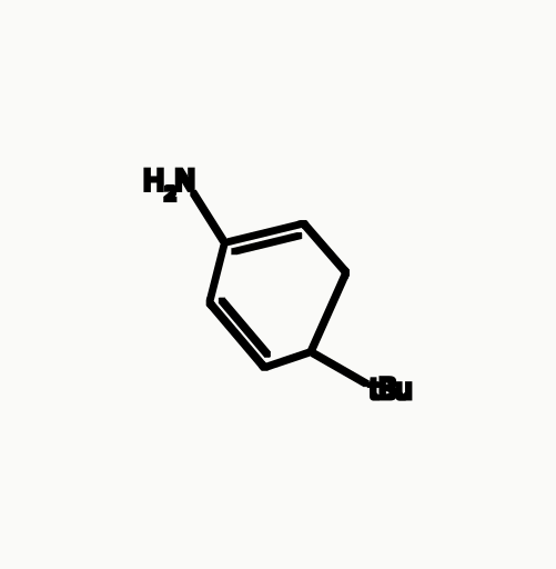 CC(C)(C)C1C=CC(N)=CC1